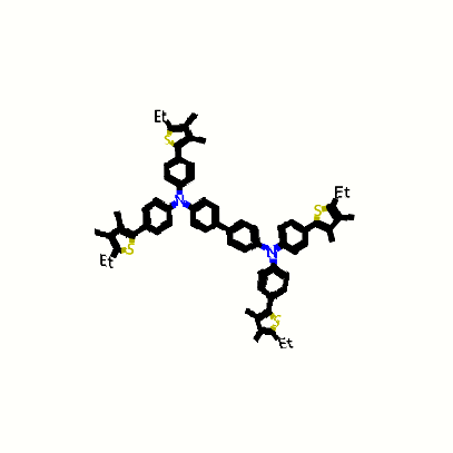 CCc1sc(-c2ccc(N(c3ccc(-c4ccc(N(c5ccc(-c6sc(CC)c(C)c6C)cc5)c5ccc(-c6sc(CC)c(C)c6C)cc5)cc4)cc3)c3ccc(-c4sc(CC)c(C)c4C)cc3)cc2)c(C)c1C